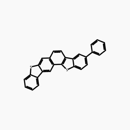 c1ccc(-c2ccc3sc4c5cc6c(cc5ccc4c3c2)sc2ccccc26)cc1